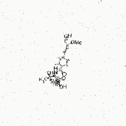 COC(C#Cc1ccc(C(=O)N[C@H](C(=O)NO)C(C)(C)SC)cc1)CO